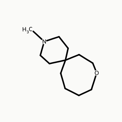 CN1CCC2(CCCCOCC2)CC1